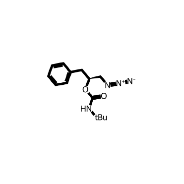 CC(C)(C)NC(=O)O[C@H](CN=[N+]=[N-])Cc1ccccc1